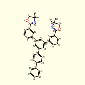 CC1(C)COC(c2cccc(-c3cc(-c4ccc(-c5ccccc5)cc4)cc(-c4cccc(C5=NC(C)(C)CO5)c4)c3)c2)=N1